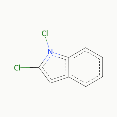 Clc1cc2ccccc2n1Cl